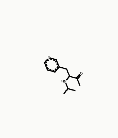 CC(=O)C(Cc1cccnc1)NC(C)C